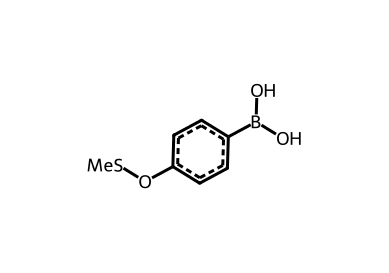 CSOc1ccc(B(O)O)cc1